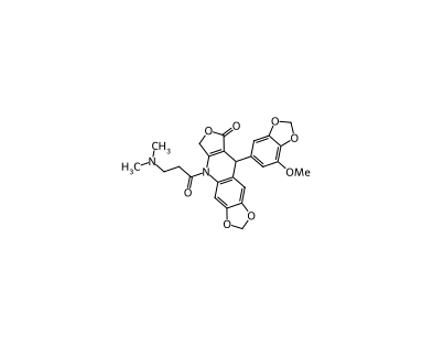 COc1cc(C2C3=C(COC3=O)N(C(=O)CCN(C)C)c3cc4c(cc32)OCO4)cc2c1OCO2